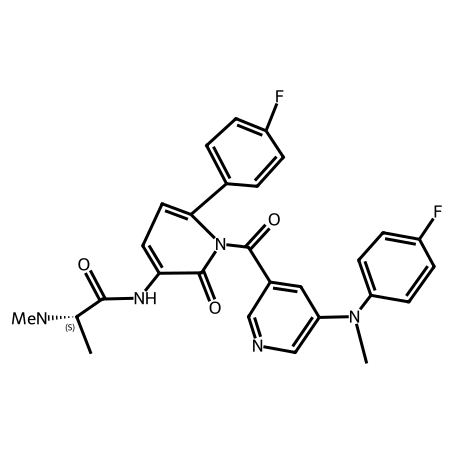 CN[C@@H](C)C(=O)Nc1ccc(-c2ccc(F)cc2)n(C(=O)c2cncc(N(C)c3ccc(F)cc3)c2)c1=O